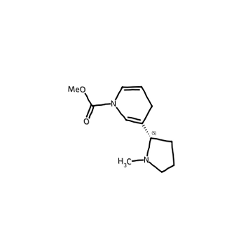 COC(=O)N1C=CCC([C@@H]2CCCN2C)=C1